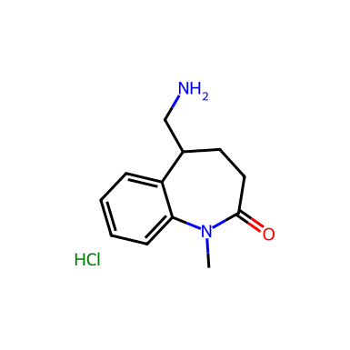 CN1C(=O)CCC(CN)c2ccccc21.Cl